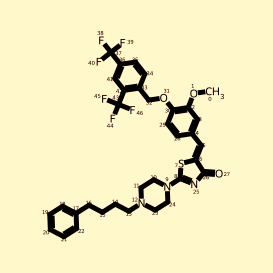 COc1cc(/C=C2\SC(N3CCN(CCCCc4ccccc4)CC3)=NC2=O)ccc1OCc1ccc(C(F)(F)F)cc1C(F)(F)F